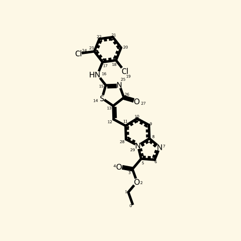 CCOC(=O)c1cnc2ccc(C=C3SC(Nc4c(Cl)cccc4Cl)=NC3=O)cn12